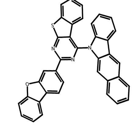 c1ccc2cc3c(cc2c1)c1ccccc1n3-c1nc(-c2ccc3c(c2)oc2ccccc23)nc2sc3ccccc3c12